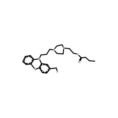 CCCC(=O)OCCN1CCN(CCCN2c3ccccc3Sc3ccc(CF)cc32)CC1